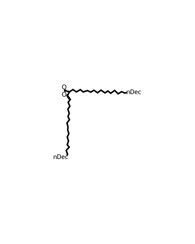 CCCCCCCCCCCCCCCCCCCCCCCCCCC=C1OC(=O)C1CCCCCCCCCCCCCCCCCCCCCCCCCC